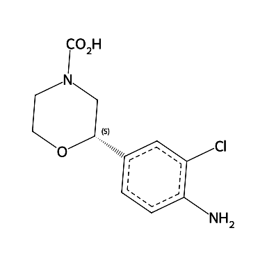 Nc1ccc([C@H]2CN(C(=O)O)CCO2)cc1Cl